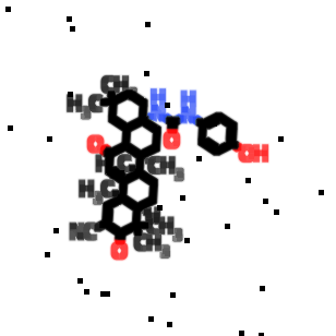 CC1(C)CC[C@]2(NC(=O)Nc3ccc(O)cc3)CC[C@]3(C)C(C(=O)C=C4[C@@]5(C)C=C(C#N)C(=O)C(C)(C)[C@@H]5CC[C@]43C)C2C1